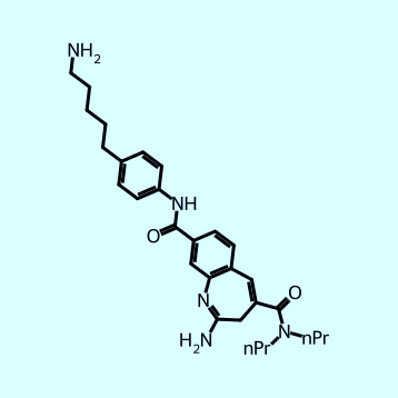 CCCN(CCC)C(=O)C1=Cc2ccc(C(=O)Nc3ccc(CCCCCN)cc3)cc2N=C(N)C1